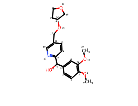 COc1ccc(C(O)c2ccc(CO[C@H]3CCOC3)cn2)cc1OC